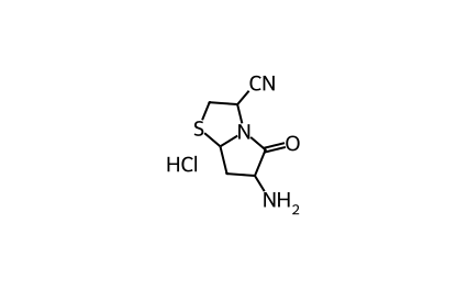 Cl.N#CC1CSC2CC(N)C(=O)N12